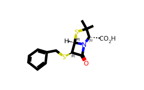 CC1(C)S[C@@H]2[C@H](SCc3ccccc3)C(=O)N2[C@H]1C(=O)O